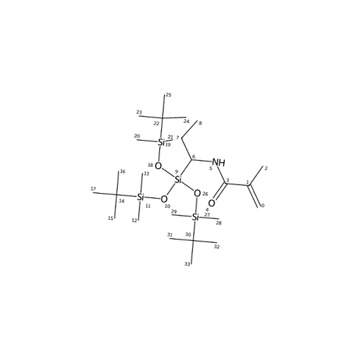 C=C(C)C(=O)NC(CC)[Si](O[Si](C)(C)C(C)(C)C)(O[Si](C)(C)C(C)(C)C)O[Si](C)(C)C(C)(C)C